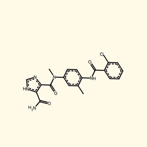 Cc1cc(N(C)C(=O)c2nc[nH]c2C(N)=O)ccc1NC(=O)c1ccccc1Cl